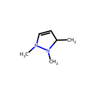 CC1C=CN(C)N1C